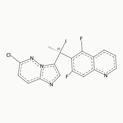 C[C@](I)(c1c(F)cc2ncccc2c1F)c1cnc2ccc(Cl)nn12